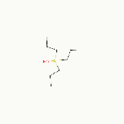 CCCS(O)(CCC)CCC